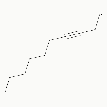 [CH2]CC#CCCCCCC